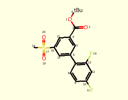 CC(C)(C)OC(=O)c1cc(-c2ccc(F)cc2F)cc(S(C)(=O)=O)c1